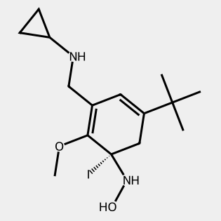 COC1=C(CNC2CC2)C=C(C(C)(C)C)C[C@@]1(I)NO